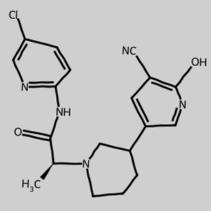 C[C@@H](C(=O)Nc1ccc(Cl)cn1)N1CCCC(c2cnc(O)c(C#N)c2)C1